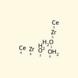 O.O.O.[Ce].[Ce].[Zr].[Zr]